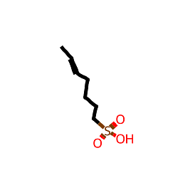 CC=CCCCCS(=O)(=O)O